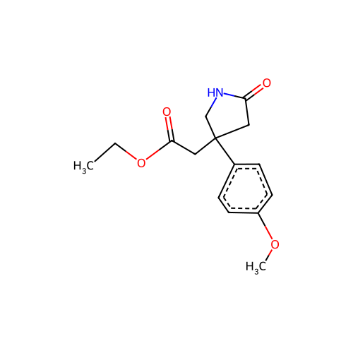 CCOC(=O)CC1(c2ccc(OC)cc2)CNC(=O)C1